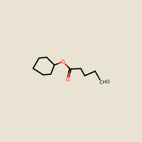 O=CCCCC(=O)OC1CCCCC1